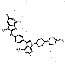 CN1CCN(C2CCC(n3cc(-c4ccc(Nc5nc6c(Cl)cc(Cl)cc6n5C)cc4)c4c(N)ncnc43)CC2)CC1